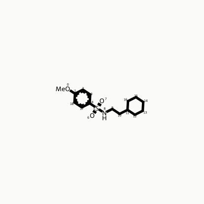 COc1ccc(S(=O)(=O)NCCC2CCCCC2)cc1